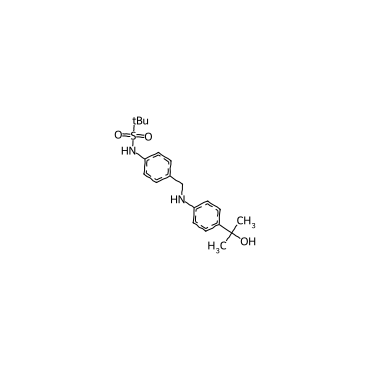 CC(C)(O)c1ccc(NCc2ccc(NS(=O)(=O)C(C)(C)C)cc2)cc1